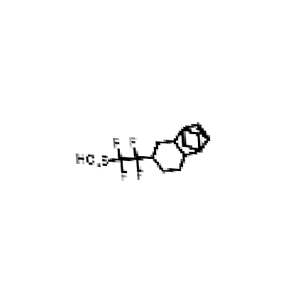 O=S(=O)(O)C(F)(F)C(F)(F)C1CCC2C(C1)C13C=CC2(C1)C3